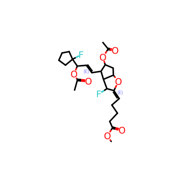 COC(=O)CCC/C=C1/OC2CC(OC(C)=O)C(/C=C/C(OC(C)=O)C3(F)CCCC3)C2C1F